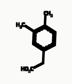 Cc1ccc(CC(=O)O)cc1C